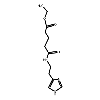 CCOC(=O)CCCC(=O)NCCc1c[nH]cn1